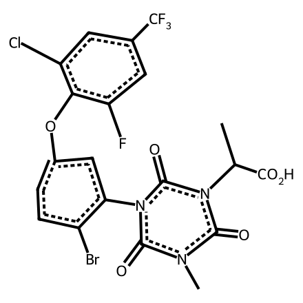 CC(C(=O)O)n1c(=O)n(C)c(=O)n(-c2cc(Oc3c(F)cc(C(F)(F)F)cc3Cl)ccc2Br)c1=O